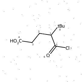 CC(C)(C)C(CCC(=O)O)C(=O)Cl